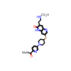 CNC(=O)c1ccc(N2CCC(Sc3cnc4cc(CCNC(=O)O)c(=O)[nH]c4c3)CC2)cn1